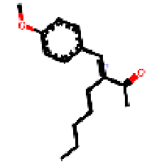 CCCCC/C(=C\c1ccc(OC)cc1)C(C)=O